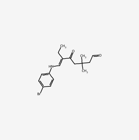 CC/C(=C\Nc1ccc(Br)cc1)C(=O)CC(C)(C)CC=O